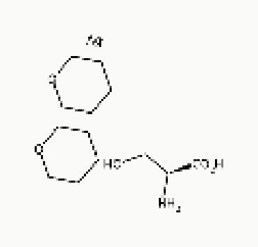 C1CCOCC1.C1CCOCC1.N[C@@H](CO)C(=O)O.[Ag]